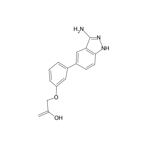 C=C(O)COc1cccc(-c2ccc3[nH]nc(N)c3c2)c1